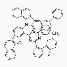 CC1C=Cc2sc3cccc(-c4nc(-c5ccc(-c6ccccc6)cc5)nc(-c5c(-n6c7cc8ccccc8cc7c7ccc8ccccc8c76)ccc6c5oc5c7ccccc7ccc65)n4)c3c2C1